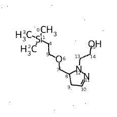 C[Si](C)(C)CCOCC1CC=NN1CCO